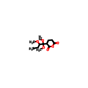 COC(C[SiH3])C(OC)(OC)C1CCC(=O)OC1=O